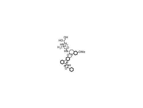 COc1ccc2c(c1)CC[C@@H](NC(=O)CC(C)(C)NC[C@H](O)CO)C(=O)N2Cc1ccc(-c2ccccc2S(=O)(=O)NC(=O)c2ccccc2)cc1